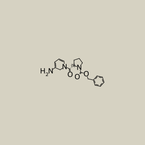 NC1=CC=CN(C(=O)[C@@H]2CCCN2C(=O)OCc2ccccc2)C1